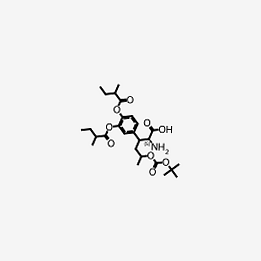 CCC(C)C(=O)Oc1ccc(C(CC(C)OC(=O)OC(C)(C)C)[C@H](N)C(=O)O)cc1OC(=O)C(C)CC